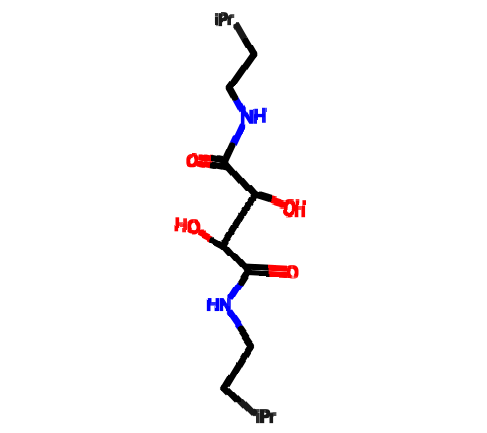 CC(C)CCNC(=O)C(O)C(O)C(=O)NCCC(C)C